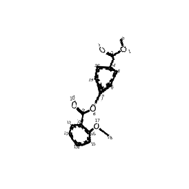 COC(=O)c1ccc(OC(=O)c2ccccc2OC)cc1